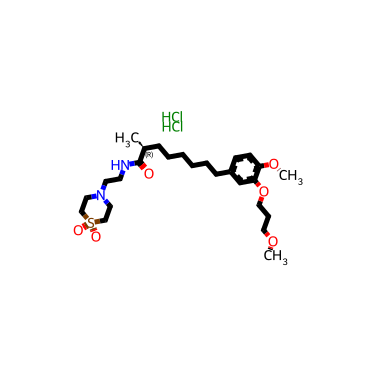 COCCCOc1cc(CCCCCC[C@@H](C)C(=O)NCCN2CCS(=O)(=O)CC2)ccc1OC.Cl.Cl